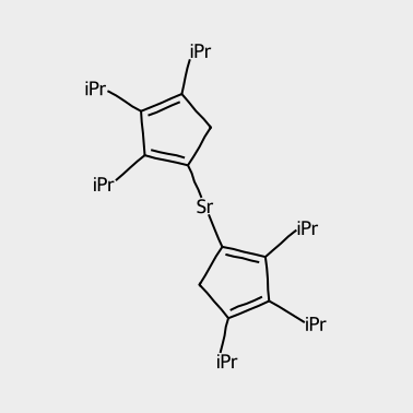 CC(C)C1=C(C(C)C)C(C(C)C)=[C]([Sr][C]2=C(C(C)C)C(C(C)C)=C(C(C)C)C2)C1